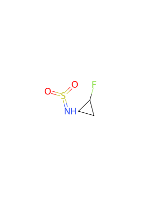 FC1CC1.N=S(=O)=O